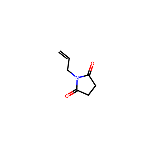 C=C[CH]N1C(=O)CCC1=O